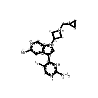 Nc1ncc(F)c(-c2cn(C3CN(CC4CC4)C3)c3cnc(Br)cc23)n1